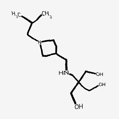 CC(C)CN1CC(CNC(CO)(CO)CO)C1